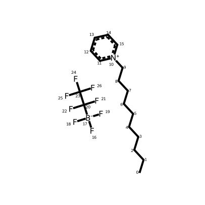 CCCCCCCCCC[n+]1ccccc1.F[B-](F)(F)C(F)(F)C(F)(F)F